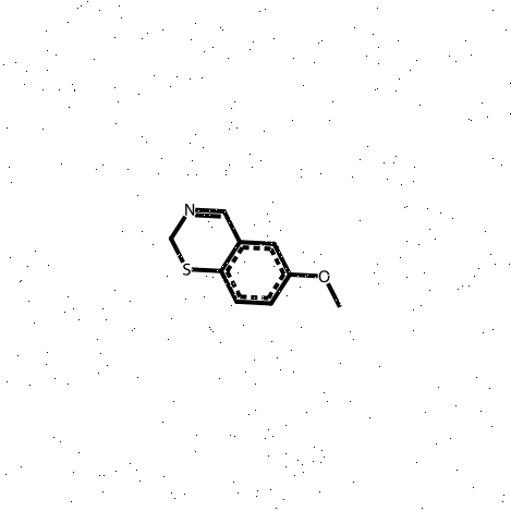 COc1ccc2c(c1)C=NCS2